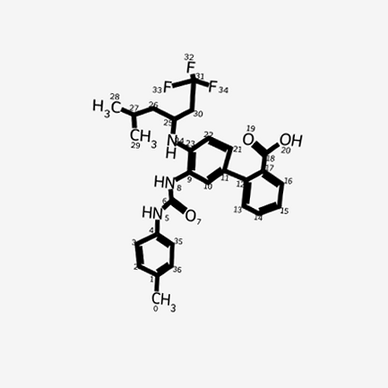 Cc1ccc(NC(=O)Nc2cc(-c3ccccc3C(=O)O)ccc2NC(CC(C)C)CC(F)(F)F)cc1